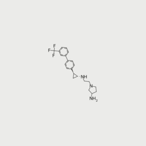 NC1CCN(CCN[C@@H]2C[C@H]2c2ccc(-c3cccc(C(F)(F)F)c3)cc2)C1